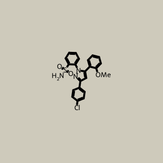 COc1ccccc1-c1cc(-c2ccc(Cl)cc2)nn1-c1ccccc1S(N)(=O)=O